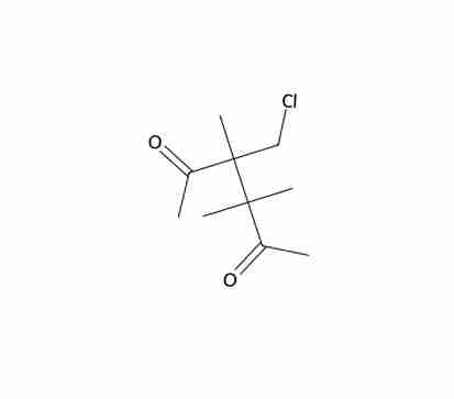 CC(=O)C(C)(C)C(C)(CCl)C(C)=O